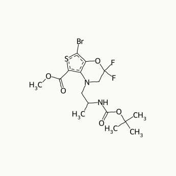 COC(=O)c1sc(Br)c2c1N(CC(C)NC(=O)OC(C)(C)C)CC(F)(F)O2